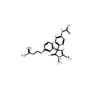 C=C(C)CCOc1cccc(C2(c3ccc(OC(F)F)cc3)N=C(N)N(C)C2=O)c1